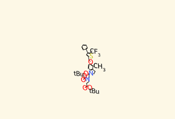 Cc1c(OCc2cc(-c3ccccc3)c(C(F)(F)F)s2)ccc2c1CCN2C(=O)CN(CCC(=O)OC(C)(C)C)C(=O)OC(C)(C)C